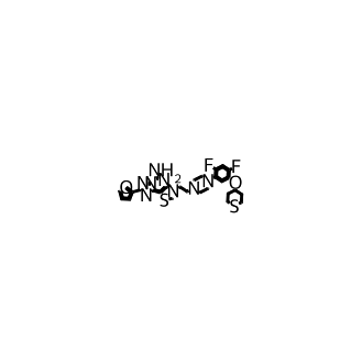 Nc1nc2c(c3nc(-c4ccco4)nn13)SCN2CCN1CCN(c2cc(OC3CCSCC3)c(F)cc2F)CC1